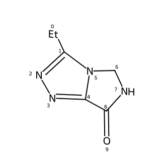 CCc1nnc2n1CNC2=O